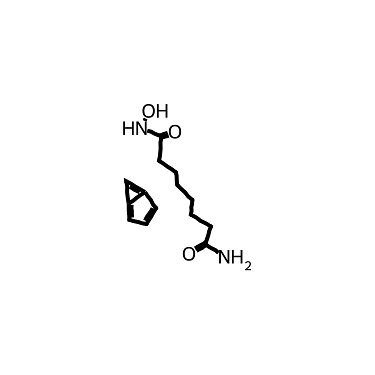 NC(=O)CCCCCCC(=O)NO.c1cc2cc-2c1